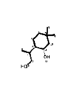 CC(CO)[C@H]1CCC(C)(C)C[C@@H]1O